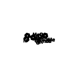 CCCCc1nc(=O)c(S(=O)(=O)c2ccc(-c3cccc4cnccc34)cc2)c(O)n1-c1c(OC)cccc1OC